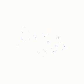 Cc1cc(N2CCN(C(=O)C(C)Nc3c(-c4ccccc4)nc4cnccn34)CC2)c2ccccc2n1